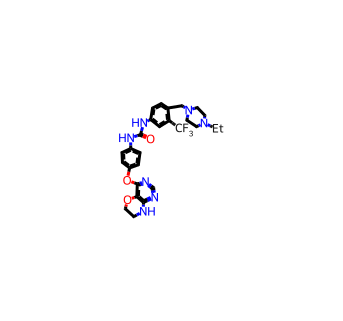 CCN1CCN(Cc2ccc(NC(=O)Nc3ccc(Oc4ncnc5c4OCCN5)cc3)cc2C(F)(F)F)CC1